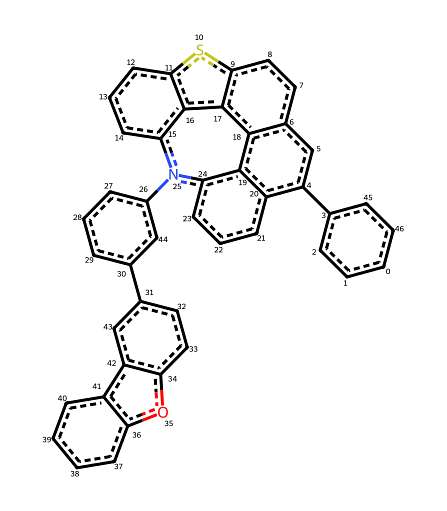 c1ccc(-c2cc3ccc4sc5cccc6c5c4c3c3c2cccc3n6-c2cccc(-c3ccc4oc5ccccc5c4c3)c2)cc1